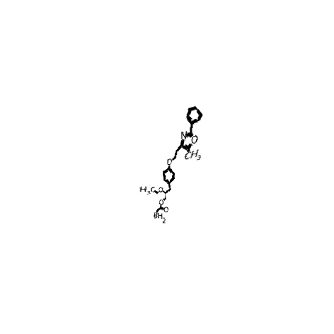 BCC(=O)OC[C@H](Cc1ccc(OCCc2nc(-c3ccccc3)oc2C)cc1)OCC